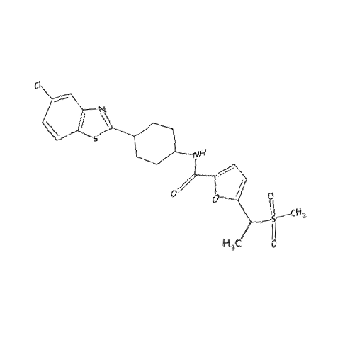 CC(c1ccc(C(=O)NC2CCC(c3nc4cc(Cl)ccc4s3)CC2)o1)S(C)(=O)=O